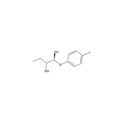 CCC(O)[C@@H](O)Oc1ccc(I)cc1